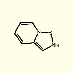 [C]1=CN2SNC=C2C=C1